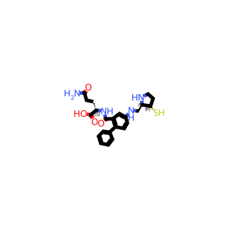 NC(=O)CC[C@H](NC(=O)c1cc(NC[C@H]2NCC[C@H]2S)ccc1-c1ccccc1)C(=O)O